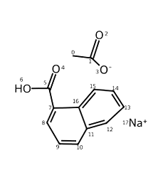 CC(=O)[O-].O=C(O)c1cccc2ccccc12.[Na+]